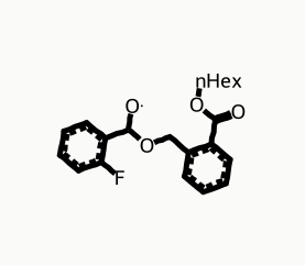 CCCCCCOC(=O)c1ccccc1COC([O])c1ccccc1F